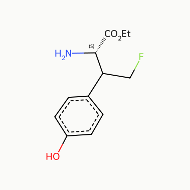 CCOC(=O)[C@@H](N)C(CF)c1ccc(O)cc1